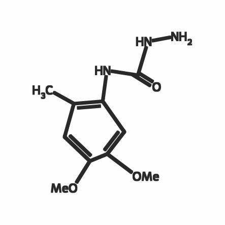 COc1cc(C)c(NC(=O)NN)cc1OC